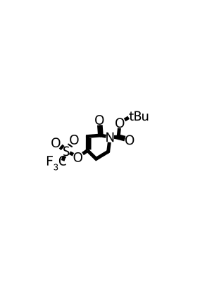 CC(C)(C)OC(=O)N1CCC(OS(=O)(=O)C(F)(F)F)=CC1=O